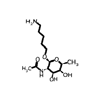 CC(=O)N[C@@H]1[C@@H](OCCCCCN)O[C@@H](C)[C@@H](O)[C@H]1O